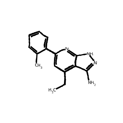 CCc1cc(-c2ccccc2C)nc2[nH]nc(N)c12